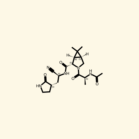 CC(=O)N[C@@H](C)C(=O)N1C[C@H]2[C@@H]([C@H]1C(=O)N[C@H](C#N)C[C@@H]1CCNC1=O)C2(C)C